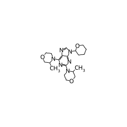 CC1COCCN1c1nc(N2CCOCC2C)c2ncn(C3CCCCO3)c2n1